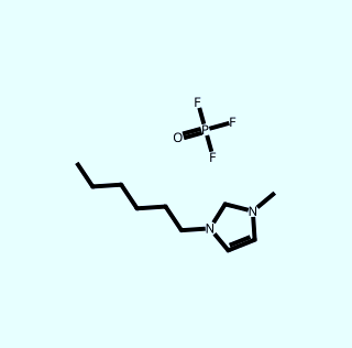 CCCCCCN1C=CN(C)C1.O=P(F)(F)F